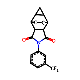 O=C1C2C3CCC(C4CC43)C2C(=O)N1c1cccc(C(F)(F)F)c1